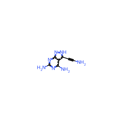 NC#Cc1[nH]nc2nc(N)nc(N)c12